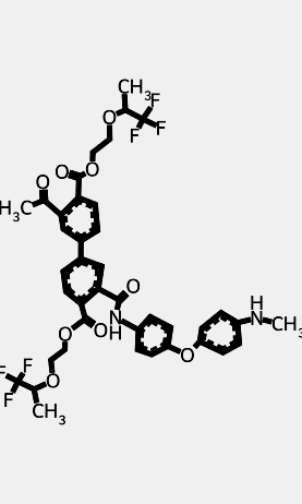 CNc1ccc(Oc2ccc(NC(=O)c3cc(-c4ccc(C(=O)OCCOC(C)C(F)(F)F)c(C(C)=O)c4)ccc3C(=O)OCCOC(C)C(F)(F)F)cc2)cc1